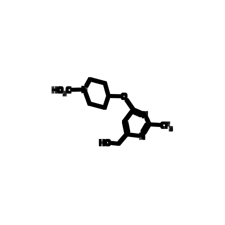 O=C(O)N1CCC(Oc2cc(CO)nc(C(F)(F)F)n2)CC1